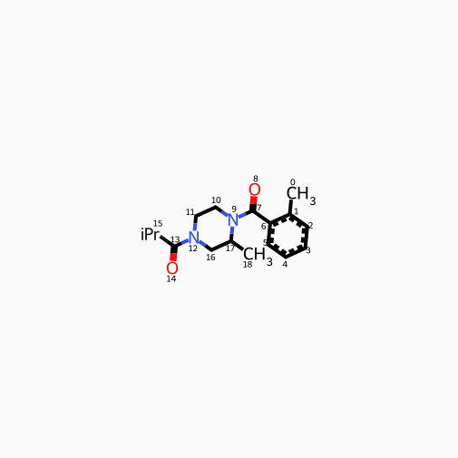 Cc1ccccc1C(=O)N1CCN(C(=O)C(C)C)CC1C